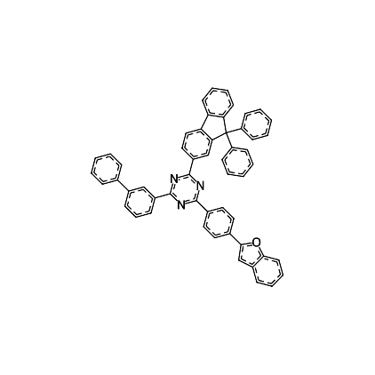 c1ccc(-c2cccc(-c3nc(-c4ccc(-c5cc6ccccc6o5)cc4)nc(-c4ccc5c(c4)C(c4ccccc4)(c4ccccc4)c4ccccc4-5)n3)c2)cc1